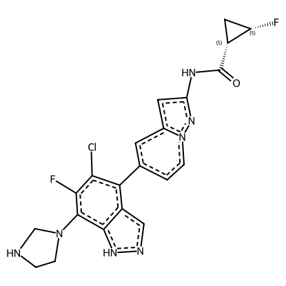 O=C(Nc1cc2cc(-c3c(Cl)c(F)c(N4CCNC4)c4[nH]ncc34)ccn2n1)[C@@H]1C[C@@H]1F